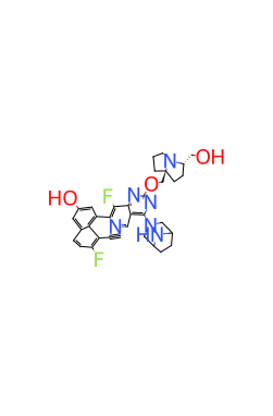 C#Cc1c(F)ccc2cc(O)cc(-c3ncc4c(N5CC6CCC(C5)N6)nc(OC[C@@]56CCCN5[C@H](CO)CC6)nc4c3F)c12